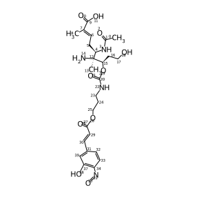 CC(=O)N[C@H](C/C=C(\C)C(=O)O)[C@](C)(N)[C@@H](CCO)OC(=O)NCCCOC(=O)/C=C/c1ccc(N=O)c(O)c1